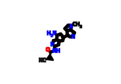 Cn1ccc2c(-c3cc(N)c4cnc(NC(=O)[C@H]5C[C@@H]5C#N)cc4c3)cncc21